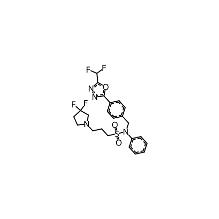 O=S(=O)(CCCN1CCC(F)(F)C1)N(Cc1ccc(-c2nnc(C(F)F)o2)cc1)c1ccccc1